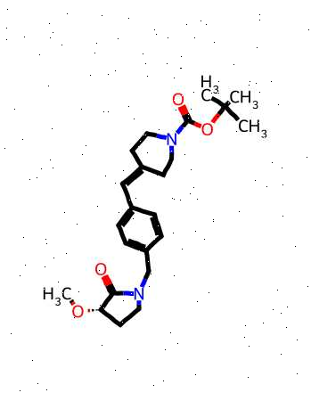 CO[C@H]1CCN(Cc2ccc(C=C3CCN(C(=O)OC(C)(C)C)CC3)cc2)C1=O